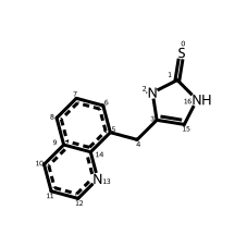 S=C1[N]C(Cc2cccc3cccnc23)=CN1